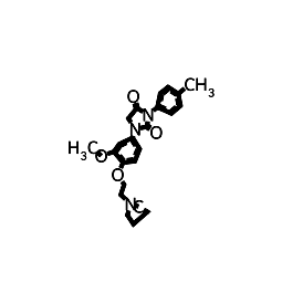 COc1cc(N2CC(=O)N(c3ccc(C)cc3)C2=O)ccc1OCCN1CCCC1